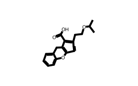 CC(C)OCCc1ccc2c(c1C(=O)O)Cc1ccccc1O2